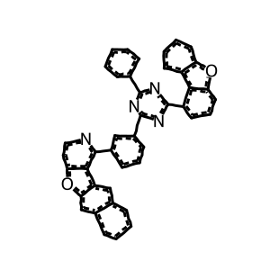 c1ccc(-c2nc(-c3cccc(-c4nccc5oc6cc7ccccc7cc6c45)c3)nc(-c3cccc4oc5ccccc5c34)n2)cc1